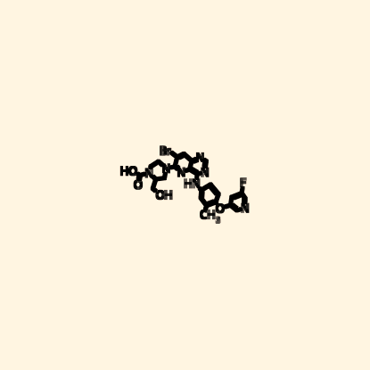 Cc1cc(Nc2ncnc3cc(Br)c(N4CCN(C(=O)O)C(CO)C4)nc23)ccc1Oc1cncc(F)c1